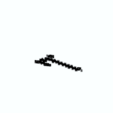 COc1cc(C#N)ccc1CO[C@H](CO)CCCCCCCCCCCCCCCCCC(F)(F)F